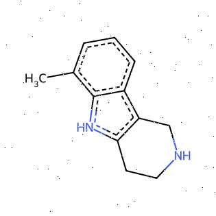 Cc1cccc2c3c([nH]c12)CCNC3